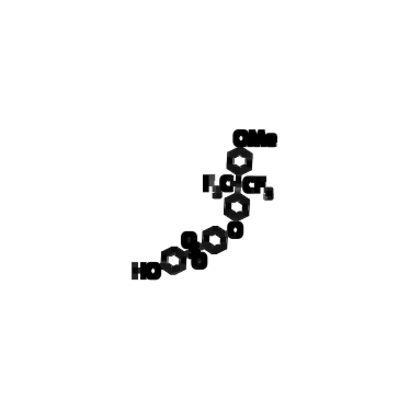 COc1ccc(C(c2ccc(Oc3ccc(S(=O)(=O)c4ccc(O)cc4)cc3)cc2)(C(F)(F)F)C(F)(F)F)cc1